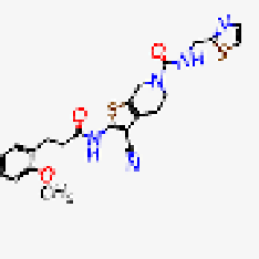 COc1ccccc1CCC(=O)Nc1sc2c(c1C#N)CCN(C(=O)NCc1nccs1)C2